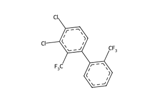 FC(F)(F)c1ccccc1-c1ccc(Cl)c(Cl)c1C(F)(F)F